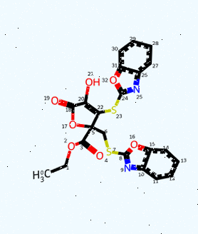 CCOC(=O)C1(CSc2nc3ccccc3o2)OC(=O)C(O)=C1Sc1nc2ccccc2o1